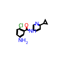 Nc1ccc(Cl)c(C(=O)Nc2ccc(C3CC3)nc2)c1